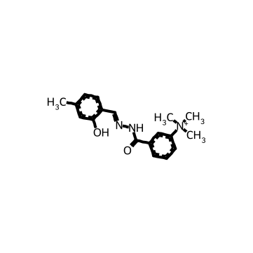 Cc1ccc(/C=N/NC(=O)c2cccc([N+](C)(C)C)c2)c(O)c1